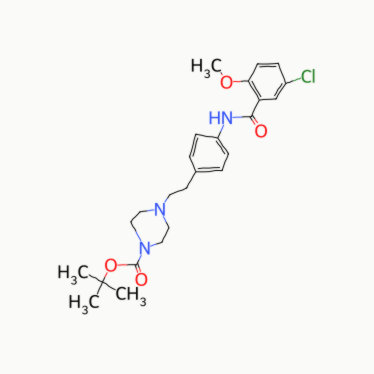 COc1ccc(Cl)cc1C(=O)Nc1ccc(CCN2CCN(C(=O)OC(C)(C)C)CC2)cc1